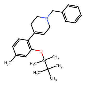 Cc1ccc(C2=CCN(Cc3ccccc3)CC2)c(O[Si](C)(C)C(C)(C)C)c1